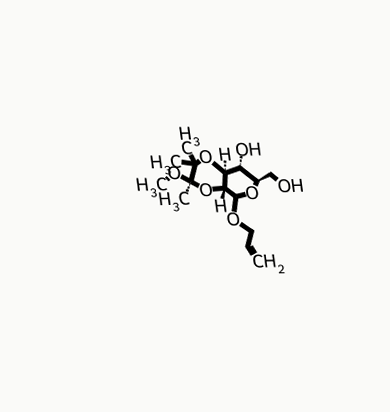 C=CCOC1O[C@H](CO)[C@@H](O)[C@@H]2OC(C)(C)[C@](C)(OC)O[C@@H]12